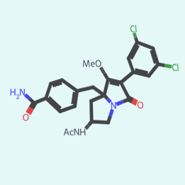 COC1=C(c2cc(Cl)cc(Cl)c2)C(=O)N2CC(NC(C)=O)CC12Cc1ccc(C(N)=O)cc1